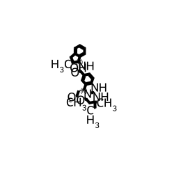 CCC1(C)CC(=O)N([C@H](CCOC)c2cccc(C(=O)N[C@@H]3c4ccccc4CC3(C)O)c2)C(=N)N1